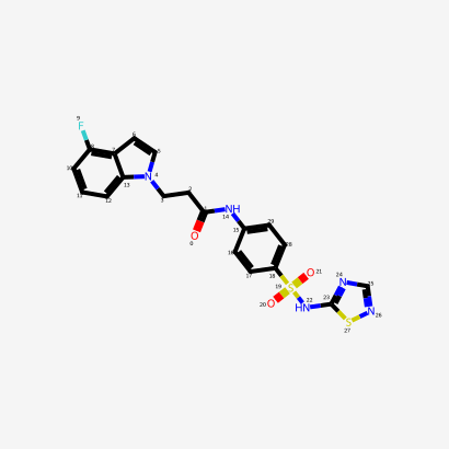 O=C(CCn1ccc2c(F)cccc21)Nc1ccc(S(=O)(=O)Nc2ncns2)cc1